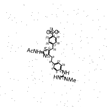 CNC(=N)Nc1ccc(CCc2nc(NC(C)=O)sc2Cc2ccc(S(C)(=O)=O)cc2)cc1